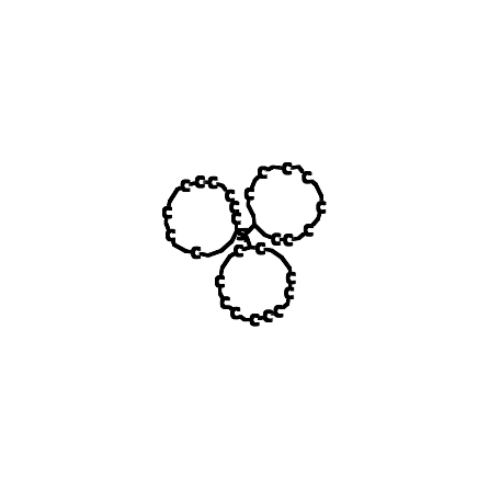 C1CCCCCCCCCC([Si](C2CCCCCCCCCCCCCCCCCC2)C2CCCCCCCCCCCCCCCCCC2)CCCCCCCC1